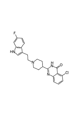 O=c1[nH]c(C2CCN(CCc3c[nH]c4cc(F)ccc34)CC2)nc2cccc(Cl)c12